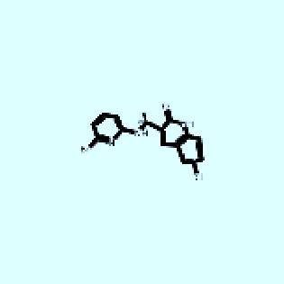 C[C@H](Nc1cccc(Br)n1)c1cc2cc(Cl)ccc2[nH]c1=O